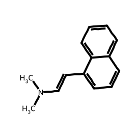 CN(C)C=Cc1cccc2ccccc12